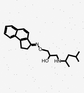 CC(C)CC(C)NCC(O)CON=C1CCc2c1ccc1ccccc21